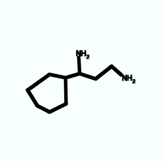 NCCC(N)C1CCCCC1